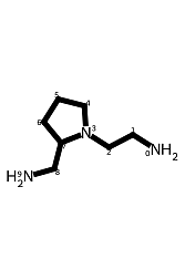 NCCN1CCCC1CN